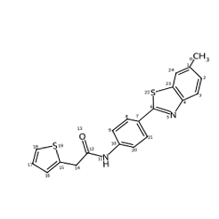 Cc1ccc2nc(-c3ccc(NC(=O)Cc4cccs4)cc3)sc2c1